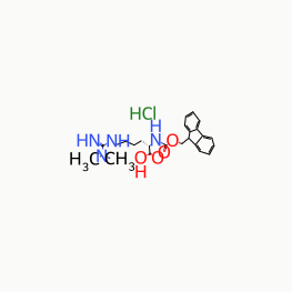 CN(C)C(=N)NCCCC[C@H](NC(=O)OCC1c2ccccc2-c2ccccc21)C(=O)O.Cl